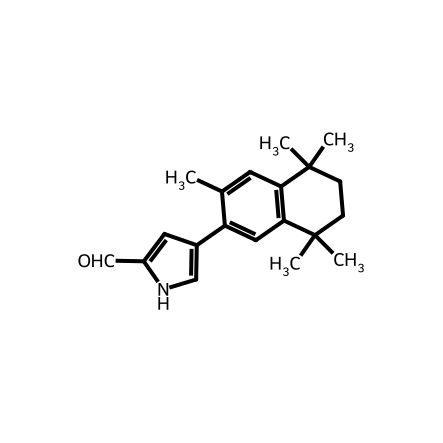 Cc1cc2c(cc1-c1c[nH]c(C=O)c1)C(C)(C)CCC2(C)C